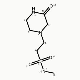 CNS(=O)(=O)CCN1CCNC(=O)C1